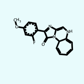 COc1ccc(C2=NC3=CNC4=CC=CC=CC4N3C2=O)c(F)c1